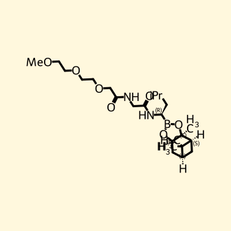 COCCOCCOCC(=O)NCC(=O)N[C@@H](CC(C)C)B1O[C@@H]2C[C@@H]3C[C@@H](C3(C)C)[C@]2(C)O1